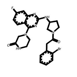 O=C1CN(c2nc(NC3CCN(C(=O)Cc4ccccc4Br)C3)nc3cc(F)ccc23)CCN1